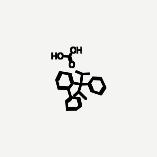 CC(C)C(c1ccccc1)(c1ccccc1-c1ccccc1)C(C)C.O=C(O)O